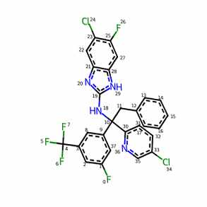 Fc1cc(C(F)(F)F)cc(C(Cc2ccccc2)(Nc2nc3cc(Cl)c(F)cc3[nH]2)c2ccc(Cl)cn2)c1